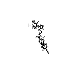 Cc1c(N2CCC[C@H]2COCCC(=O)N2CCN(c3ccc(C#N)cn3)C[C@@H]2C)cn[nH]c1=O